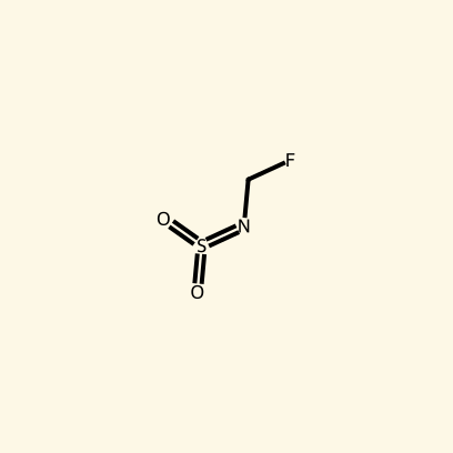 O=S(=O)=NCF